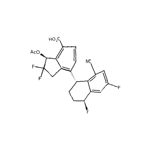 CC(=O)O[C@H]1c2c(C(=O)O)ccc([C@H]3CC[C@H](F)c4cc(F)cc(C#N)c43)c2CC1(F)F